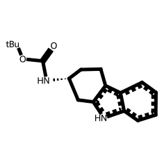 CC(C)(C)OC(=O)N[C@@H]1CCc2c([nH]c3ccccc23)C1